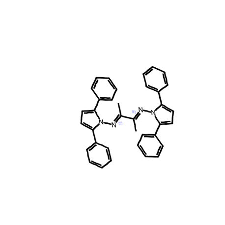 CC(=N\n1c(-c2ccccc2)ccc1-c1ccccc1)/C(C)=N/n1c(-c2ccccc2)ccc1-c1ccccc1